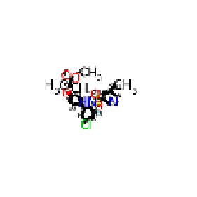 CCOC(=O)C(C)(C)Oc1ccc(-c2cc(Cl)cc(F)c2NS(=O)(=O)c2cncc(CC)c2)cc1